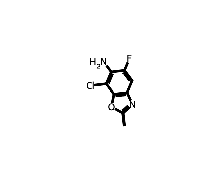 Cc1nc2cc(F)c(N)c(Cl)c2o1